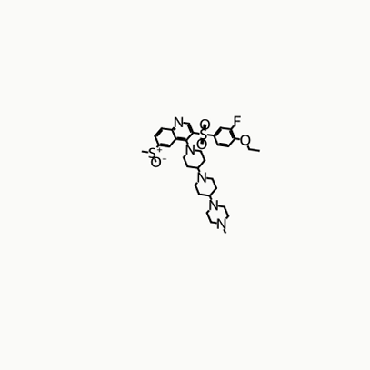 CCOc1ccc(S(=O)(=O)c2cnc3ccc([S+](C)[O-])cc3c2N2CCC(N3CCC(N4CCN(C)CC4)CC3)CC2)cc1F